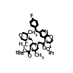 CC(C)OC[C@H]1COc2ncc(Cc3ccc(F)cc3)cc2N1C(=O)CN1C[C@@H](C)N(C(=O)OC(C)(C)C)C[C@@H]1CN1[C@H](C)COC[C@H]1C